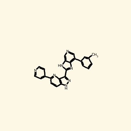 Cc1cccc(-c2cncc3[nH]c(-c4n[nH]c5ccc(-c6ccncc6)nc45)nc23)c1